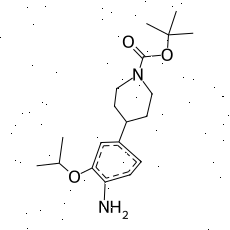 CC(C)Oc1cc(C2CCN(C(=O)OC(C)(C)C)CC2)ccc1N